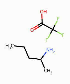 CCCC(C)N.O=C(O)C(F)(F)F